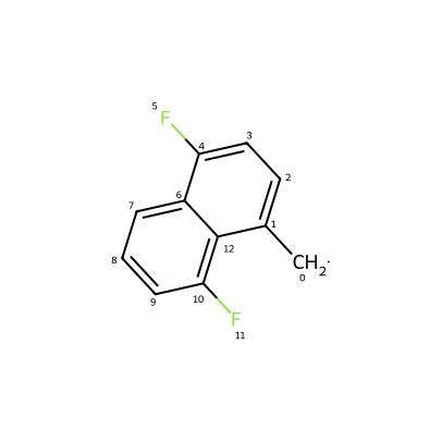 [CH2]c1ccc(F)c2cccc(F)c12